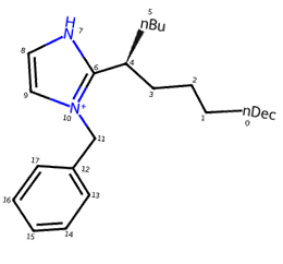 CCCCCCCCCCCCC[C@H](CCCC)c1[nH]cc[n+]1Cc1ccccc1